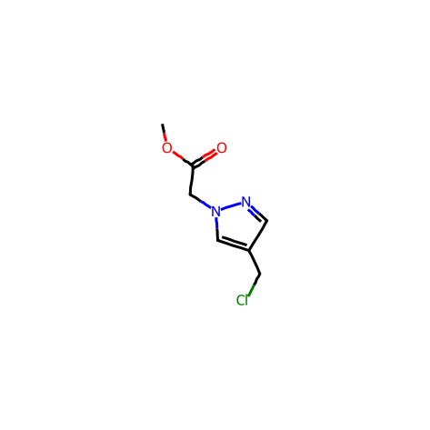 COC(=O)Cn1cc(CCl)cn1